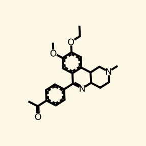 CCOc1cc2c(cc1OC)C(c1ccc(C(C)=O)cc1)=NC1CCN(C)CC21